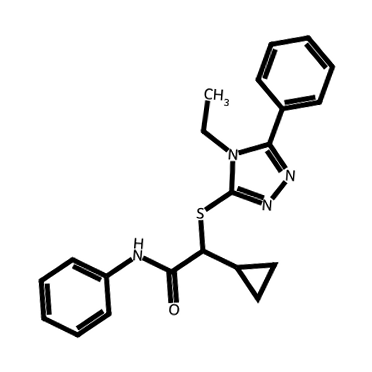 CCn1c(SC(C(=O)Nc2ccccc2)C2CC2)nnc1-c1ccccc1